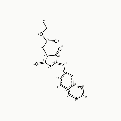 CCOC(=O)CN1C(=O)S/C(=C\c2ccc3ccccc3c2)C1=O